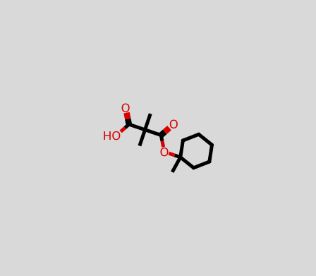 CC1(OC(=O)C(C)(C)C(=O)O)CCCCC1